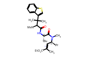 CCOC(=O)/C(C)=C/[C@H](C(C)C)N(C)C(=O)[C@@H](NC(=O)C(NC)C(C)(C)c1csc2ccccc12)C(C)(C)C